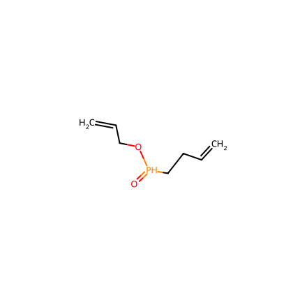 C=CCC[PH](=O)OCC=C